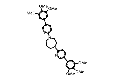 COc1cc(-c2ccc(N3CCCN(c4ccc(-c5cc(OC)c(OC)c(OC)c5)cn4)CC3)nc2)cc(OC)c1OC